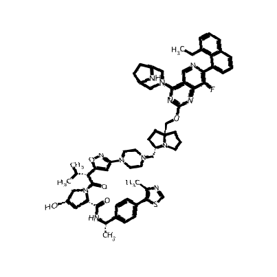 CCc1cccc2cccc(-c3ncc4c(N5CC6CCC(C5)N6)nc(OC[C@@]56CCCN5[C@H](CN5CCN(c7cc([C@H](C(=O)N8C[C@H](O)C[C@H]8C(=O)N[C@@H](C)c8ccc(-c9scnc9C)cc8)C(C)C)on7)CC5)CC6)nc4c3F)c12